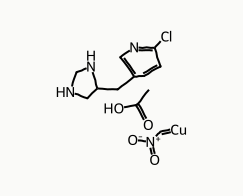 CC(=O)O.Clc1ccc(CC2CNCN2)cn1.O=[N+]([O-])[CH]=[Cu]